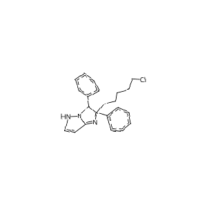 ClCCCCCC1(c2ccccc2)N=C2C=CNN2C1c1ccccc1